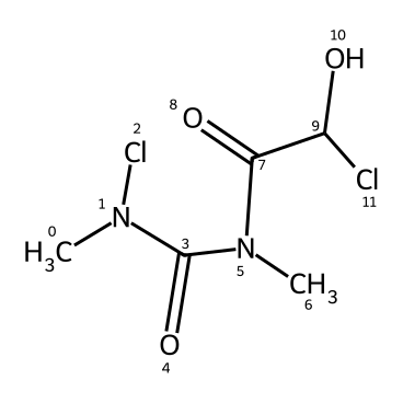 CN(Cl)C(=O)N(C)C(=O)C(O)Cl